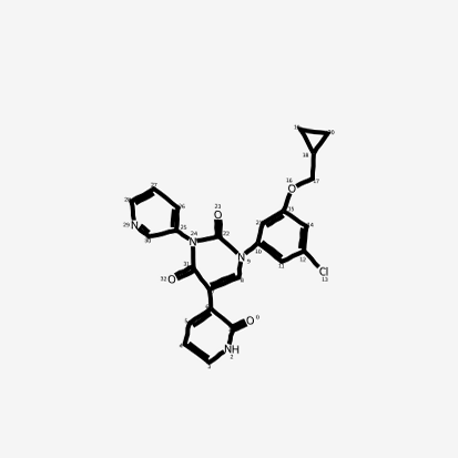 O=c1[nH]cccc1-c1cn(-c2cc(Cl)cc(OCC3CC3)c2)c(=O)n(-c2cccnc2)c1=O